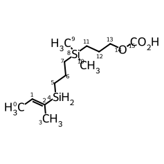 CC=C(C)[SiH2]CCC[Si](C)(C)CCCOC(=O)O